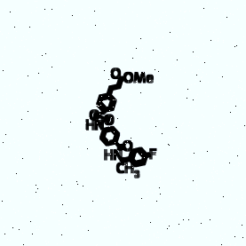 COC(=O)CCc1ccc(S(=O)(=O)N[C@H]2CC[C@H](C(=O)N[C@H](C)c3ccc(F)cc3)CC2)cc1